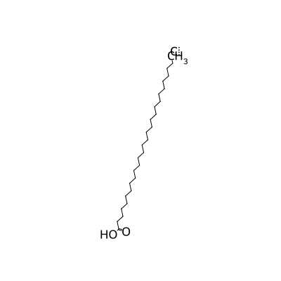 CCCCCCCCCCCCCCCCCCCCCCCCCCCC(=O)O.[C]